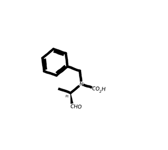 C[C@H](C=O)N(Cc1ccccc1)C(=O)O